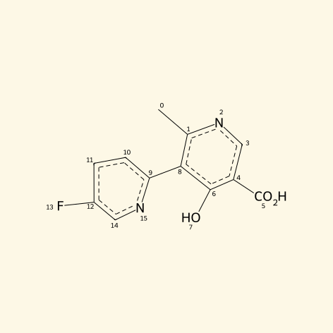 Cc1ncc(C(=O)O)c(O)c1-c1ccc(F)cn1